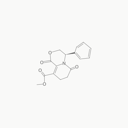 COC(=O)C1=C2C(=O)OC[C@@H](c3ccccc3)N2C(=O)CC1